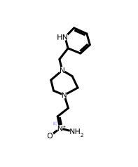 N/[N+]([O-])=C\CN1CCN(CC2C=CC=CN2)CC1